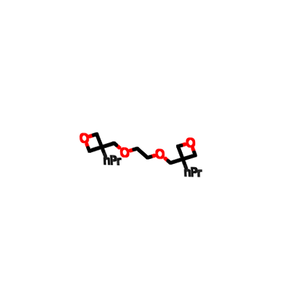 CCCC1(COCCOCC2(CCC)COC2)COC1